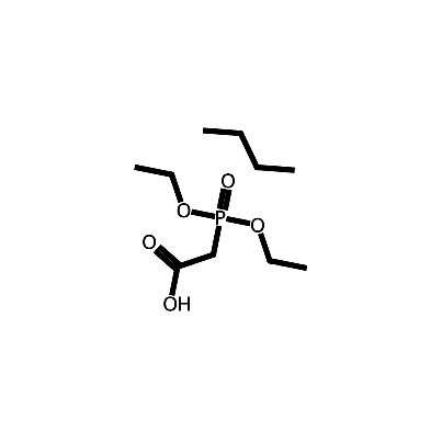 CCCC.CCOP(=O)(CC(=O)O)OCC